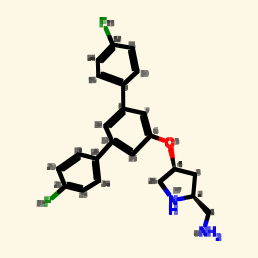 NC[C@@H]1C[C@H](Oc2cc(-c3ccc(F)cc3)cc(-c3ccc(F)cc3)c2)CN1